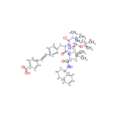 C[C@@H](C(=O)NC(Cc1ccc(C#Cc2ccc(C(=O)O)cc2)cc1)C(=O)N1C[Si](C)(C)C[C@H]1C(=O)NC1CCCc2ccccc21)N(C)C(=O)OC(C)(C)C